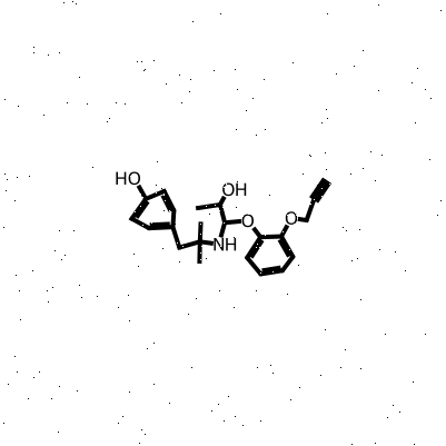 C#CCOc1ccccc1OC(NC(C)(C)Cc1ccc(O)cc1)C(C)O